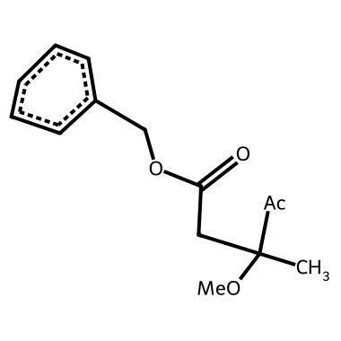 COC(C)(CC(=O)OCc1ccccc1)C(C)=O